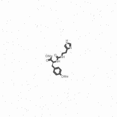 COC(=O)[C@H](Cc1ccc(OC)cc1)NC(=O)NCCc1c[nH]cn1